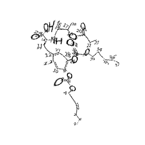 CCCCCOC(=O)Oc1ccc(C[C@H](NCC(C)OC(=O)CC)C(=O)O)cc1OC(=O)OCCCCC